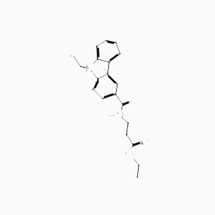 CCOC(=O)CCNC(=O)c1ccc2c(c1)c1ccccc1n2CC